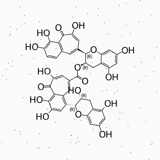 O=C(O[C@@H]1Cc2c(O)cc(O)cc2O[C@@H]1c1cc(O)c(=O)c2c(O)c(O)ccc2c1)c1cc(O)c(=O)c2c(O)c(O)cc([C@H]3Oc4cc(O)cc(O)c4C[C@H]3O)c2c1